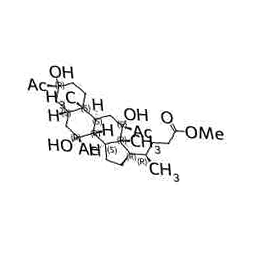 COC(=O)CC[C@@H](C)[C@H]1CC[C@H]2[C@H]3[C@H](C[C@@](O)(C(C)=O)[C@]12C)[C@@]1(C)CC[C@](O)(C(C)=O)C[C@H]1C[C@]3(O)C(C)=O